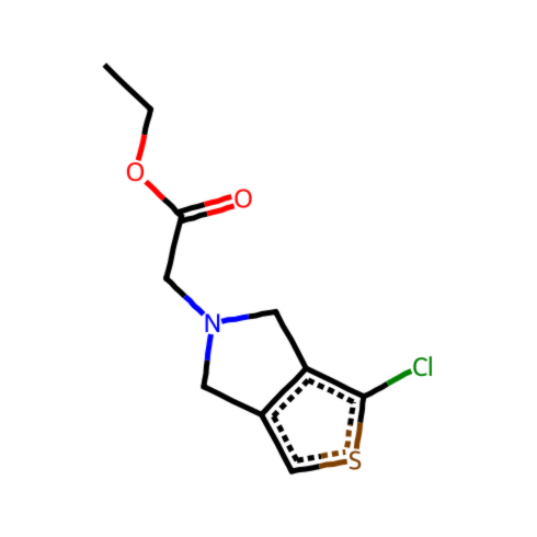 CCOC(=O)CN1Cc2csc(Cl)c2C1